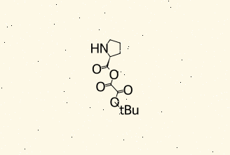 CC(C)(C)OC(=O)C(=O)OC(=O)[C@@H]1CCCN1